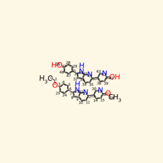 CCOc1ccc(-c2cc3ccc(-c4ccc(OC)nc4)nc3[nH]2)cc1.Oc1ccc(-c2cc3ccc(-c4ccc(O)nc4)nc3[nH]2)cc1